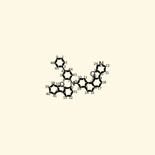 c1ccc(-c2ccc(N(c3ccc4c(ccc5ccc6c7ccncc7oc6c54)c3)c3cccc4c3oc3ccccc34)cc2)cc1